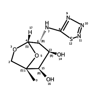 C[C@@]12CO[C@@H](O1)[C@H](Nc1nnns1)[C@@H](O)[C@H]2O